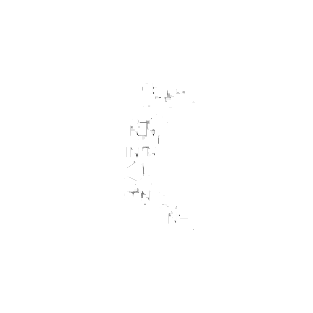 Cc1cc(Nc2nccn3c(C4CCC(OC5CC5)C(Cl)C4)cnc23)ccc1C(=O)N1CCC(CN)CC1